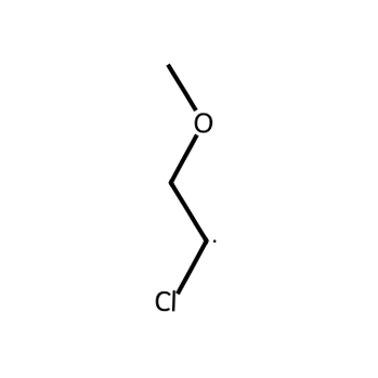 COC[CH]Cl